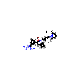 C[C@@H]1CCC[C@H](C)N1CCC=CCN1C(=O)C(c2cccc(C(=N)N)c2)Cc2ccccc21